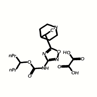 CCCC(CCC)OC(=O)Nc1noc(C2CN3CCC2CC3)n1.O=C(O)C(=O)O